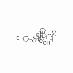 CC(=O)NC[C@@]1(c2ccccc2)CC1(NS(=O)(=O)c1ccc(-c2ccc(Cl)cc2)s1)C(=O)O